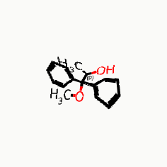 COC(c1ccccc1)(c1ccccc1)[C@@H](C)O